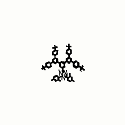 Cc1ccc(-c2nc(-c3cc(-c4cc(-c5ccc(C(C)(C)C)cc5)cc(-c5ccc(C(C)(C)C)cc5)c4)cc(-c4cc(-c5ccc(C(C)(C)C)cc5)cc(-c5ccc(C(C)(C)C)cc5)c4)c3)nc(-c3ccc(C)cc3C)n2)c(C)c1